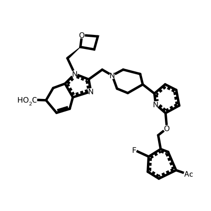 CC(=O)c1ccc(F)c(COc2cccc(C3CCN(Cc4nc5c(n4C[C@@H]4CCO4)CC(C(=O)O)C=C5)CC3)n2)c1